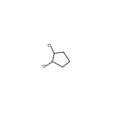 ClB1CCCC1Cl